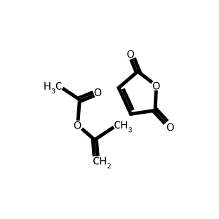 C=C(C)OC(C)=O.O=C1C=CC(=O)O1